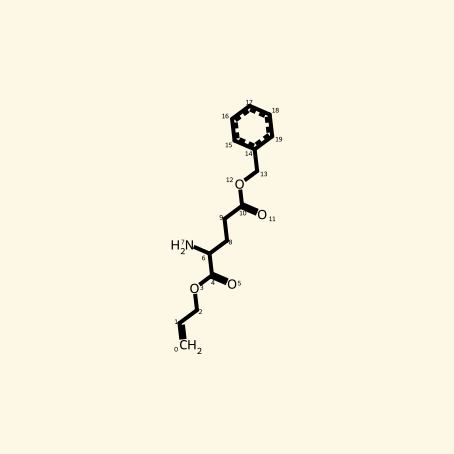 C=CCOC(=O)C(N)CCC(=O)OCc1ccccc1